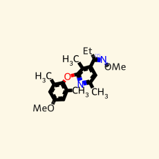 CC/C(=N/OC)c1cc(C)nc(Oc2c(C)cc(OC)cc2C)c1C